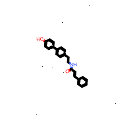 O=C(/C=C/c1ccccc1)NCCc1ccc(-c2ccc(O)cc2)cc1